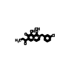 CCC(=O)c1cn2ccn(Cc3cccc(Cl)c3)c(=O)c2c(O)c1=O.Cl